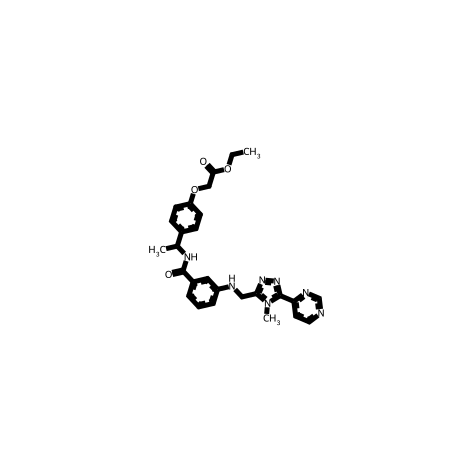 CCOC(=O)COc1ccc(C(C)NC(=O)c2cccc(NCc3nnc(-c4ccncn4)n3C)c2)cc1